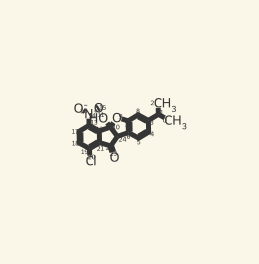 CC(C)c1ccc2c(c1)OC1(O)c3c([N+](=O)[O-])ccc(Cl)c3C(=O)C21